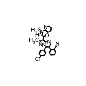 Cc1nn2c(-c3ccc(Cl)cc3)c(-c3ccccc3C#N)cnc2c1C(=O)NN(C)c1ccccn1